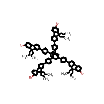 CCCC1(CCC)c2cc(Br)ccc2-c2ccc(-c3ccc(C45CC6(c7ccc(-c8ccc9c(c8)C(CCC)(CCC)c8cc(Br)ccc8-9)cc7)CC(c7ccc(-c8ccc9c(c8)C(CCC)(CCC)c8cc(Br)ccc8-9)cc7)(C4)CC(c4ccc(-c7ccc8c(c7)C(CCC)(CCC)c7cc(Br)ccc7-8)cc4)(C5)C6)cc3)cc21